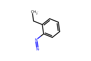 [CH2]Cc1ccccc1N=[N]